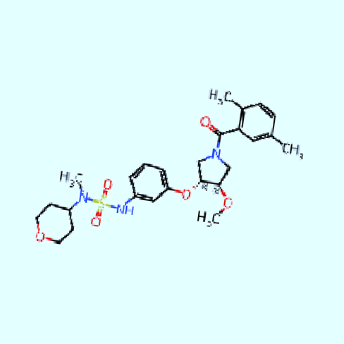 CO[C@@H]1CN(C(=O)c2cc(C)ccc2C)C[C@H]1Oc1cccc(NS(=O)(=O)N(C)C2CCOCC2)c1